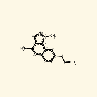 C=CCc1ccc2nc(N)c3cnn(C)c3c2c1